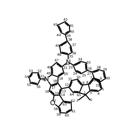 CC1(C)c2ccccc2-c2ccc(-c3c4c(cc5c3c3cc(N(c6ccc(-c7ccccc7)cc6)c6ccc(-c7ccccc7)cc6)ccc3n5-c3ccccc3)oc3ccccc34)cc21